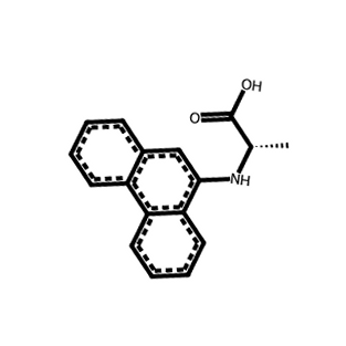 C[C@H](Nc1cc2ccccc2c2ccccc12)C(=O)O